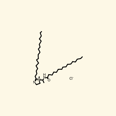 CCCCCCCCCCCCCCCCCCC1=NCC[N+]1(C)C(C)NC(=O)CCCCCCCCCCCCCCC.[Cl-]